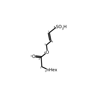 CCCCCCCC(=O)OCC=CS(=O)(=O)O